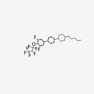 CCCCCC1CCC(c2ccc(-c3cc(F)c(OC(F)(F)C(F)C(F)(F)F)c(F)c3)cc2)CC1